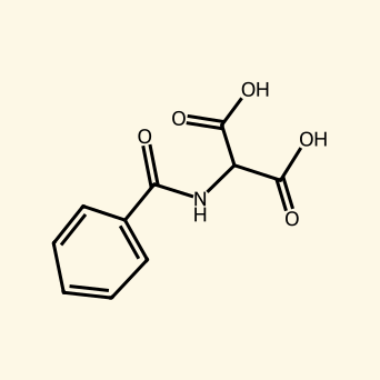 O=C(NC(C(=O)O)C(=O)O)c1ccccc1